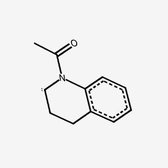 CC(=O)N1[C]CCc2ccccc21